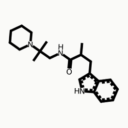 CC(Cc1c[nH]c2ccccc12)C(=O)NCC(C)(C)N1CCCCC1